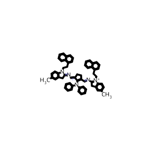 Cc1ccc2c(c1)C/C(=N\C=C1/CCC(/C=N/C3=[N+](CCc4cccc5ccccc45)c4ccc(C)cc4C3)=C1N(c1ccccc1)c1ccccc1)N2CCc1cccc2ccccc12